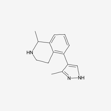 Cc1n[nH]cc1-c1cccc2c1CCNC2C